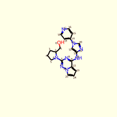 OCC1CCCN1c1nc(Nc2cn(-c3ccncc3)cn2)c2cccn2n1